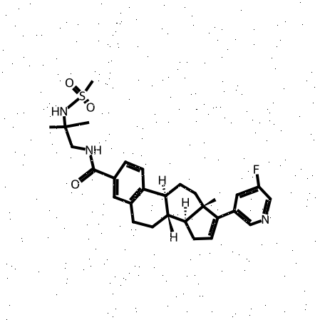 CC(C)(CNC(=O)c1ccc2c(c1)CC[C@@H]1[C@@H]2CC[C@]2(C)C(c3cncc(F)c3)=CC[C@@H]12)NS(C)(=O)=O